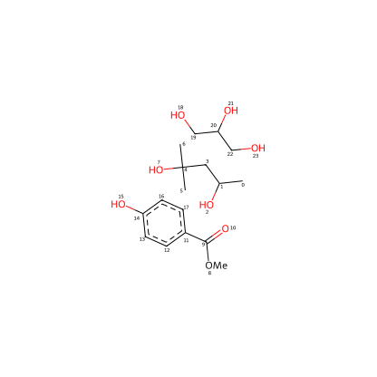 CC(O)CC(C)(C)O.COC(=O)c1ccc(O)cc1.OCC(O)CO